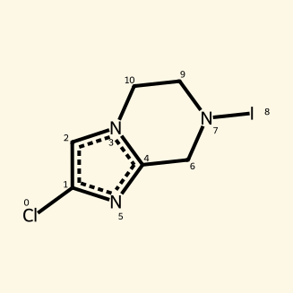 Clc1cn2c(n1)CN(I)CC2